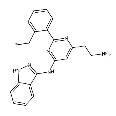 NCCc1cc(Nc2n[nH]c3ccccc23)nc(-c2ccccc2CF)n1